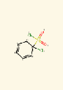 O=S(=O)(Cl)C1(Cl)C=CC=CC1